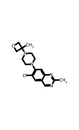 Cc1ncc2cc(Cl)c(N3CCN(C4(C)COC4)CC3)cc2n1